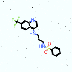 O=S(=O)(NCCCNc1ccnc2cc(C(F)(F)F)ccc12)c1ccccc1